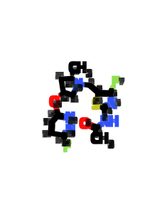 CC(=O)Nc1nc(F)c(CN2C[C@H](Oc3ccc(F)nn3)C[C@@H]2C)s1